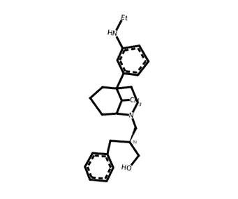 CCNc1cccc(C23CCCC(C2C)N(C[C@@H](CO)Cc2ccccc2)CC3)c1